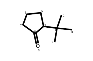 CC(C)(C)C1CCCC1=O